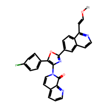 CCO/C=C/c1nccc2cc(-c3nc(-n4ccc5cccnc5c4=O)c(-c4ccc(F)cc4)o3)ccc12